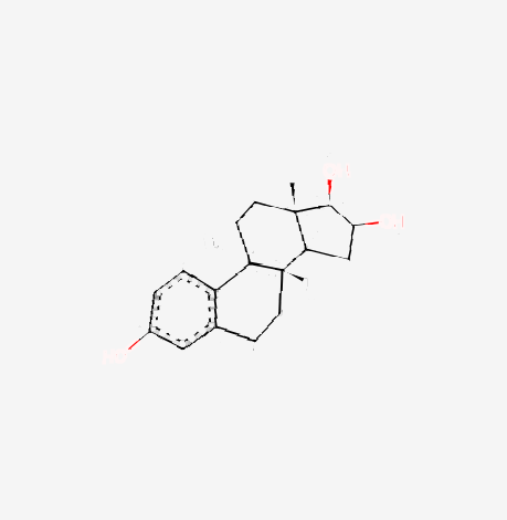 C[C@]12CC[C@@H]3c4ccc(O)cc4CC[C@H]3[C@@H]1CC(O)[C@@H]2O